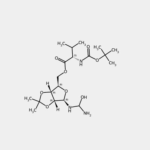 CC(C)[C@H](NC(=O)OC(C)(C)C)C(=O)OC[C@H]1O[C@@H](NC(N)O)[C@@H]2OC(C)(C)O[C@@H]21